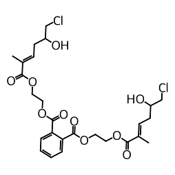 CC(=CCC(O)CCl)C(=O)OCCOC(=O)c1ccccc1C(=O)OCCOC(=O)C(C)=CCC(O)CCl